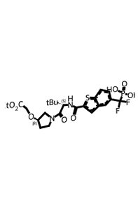 CCOC(=O)CO[C@@H]1CCN(C(=O)[C@@H](NC(=O)c2cc3cc(C(F)(F)P(=O)(O)O)ccc3s2)C(C)(C)C)C1